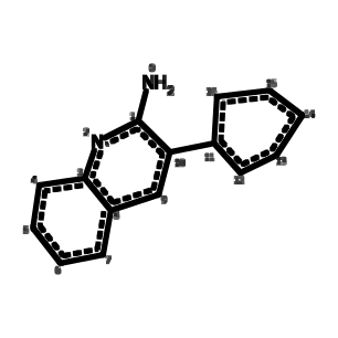 Nc1nc2ccccc2cc1-c1ccccc1